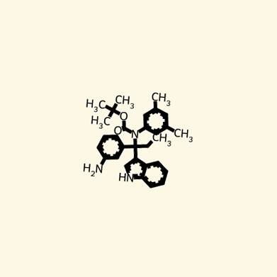 CCC(c1cccc(N)c1)(c1c[nH]c2ccccc12)N(C(=O)OC(C)(C)C)c1cc(C)cc(C)c1